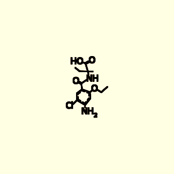 CCOc1cc(N)c(Cl)cc1C(=O)NC(C)(CC)C(=O)O